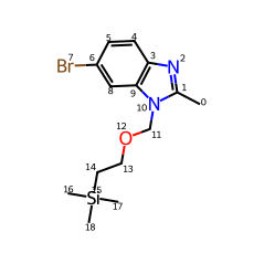 Cc1nc2ccc(Br)cc2n1COCC[Si](C)(C)C